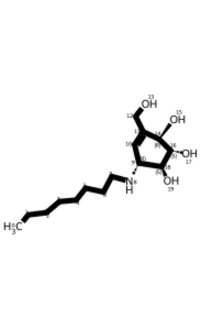 CCCCCCCCN[C@@H]1C=C(CO)[C@@H](O)[C@H](O)[C@H]1O